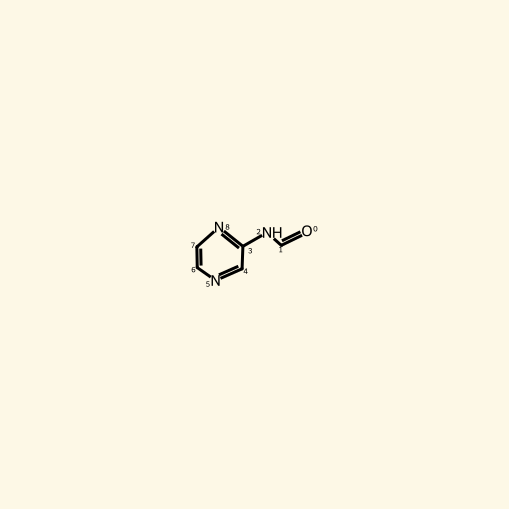 O=CNc1cnccn1